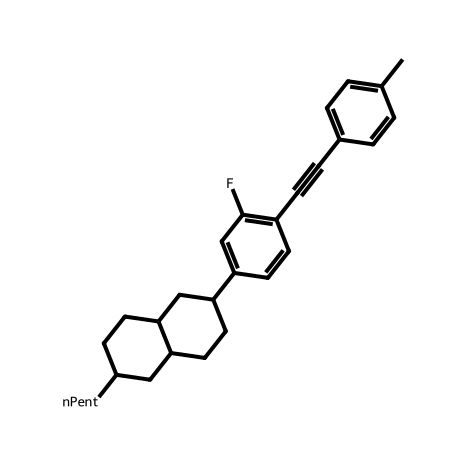 CCCCCC1CCC2CC(c3ccc(C#Cc4ccc(C)cc4)c(F)c3)CCC2C1